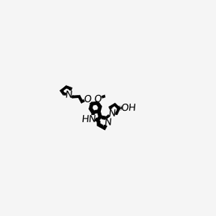 COc1cc2c(cc1OCCCN1CCCC1)[nH]c1ccnc(N3CC[C@@H](O)C3)c12